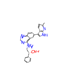 Cc1ccc2c(-c3ccc4ncnc(NC[C@H](O)c5ccccc5)c4c3)c[nH]c2n1